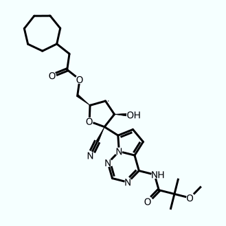 COC(C)(C)C(=O)Nc1ncnn2c([C@]3(C#N)O[C@@H](COC(=O)CC4CCCCCC4)[CH][C@H]3O)ccc12